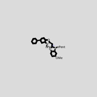 CCCCCN1/C(=C/c2oc3ccc(-c4ccccc4)cc3[n+]2CCCCC)Oc2ccc(OC)cc21